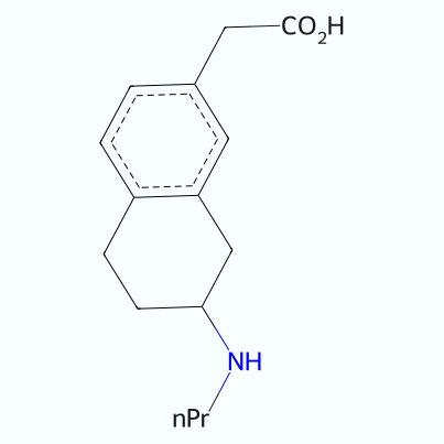 CCCNC1CCc2ccc(CC(=O)O)cc2C1